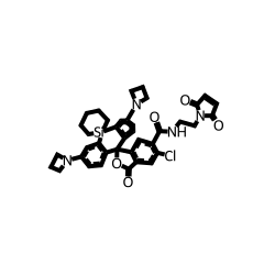 O=C(NCCN1C(=O)C=CC1=O)c1cc2c(cc1Cl)C(=O)OC21c2ccc(N3CCC3)cc2[Si]2(CCCCC2)c2cc(N3CCC3)ccc21